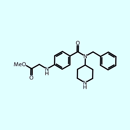 COC(=O)CNc1ccc(C(=O)N(Cc2ccccc2)C2CCNCC2)cc1